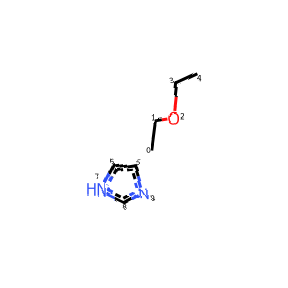 CCOCC.c1c[nH]cn1